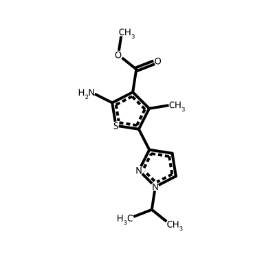 COC(=O)c1c(N)sc(-c2ccn(C(C)C)n2)c1C